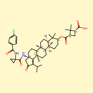 CC(C)C1=C2[C@H]3CC[C@@H]4[C@@]5(C)CC[C@H](OC(=O)[C@@H]6C[C@H](C(=O)O)C6(C)C)C(C)(C)[C@@H]5CC[C@@]4(C)[C@]3(C)CC[C@@]2(NC(=O)C2(NC(=O)c3ccc(Cl)cc3)CC2)CC1=O